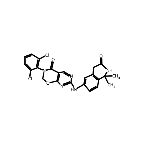 CC1(C)NC(=O)Cc2cc(Nc3ncc4c(n3)OCN(c3c(Cl)cccc3Cl)C4=O)ccc21